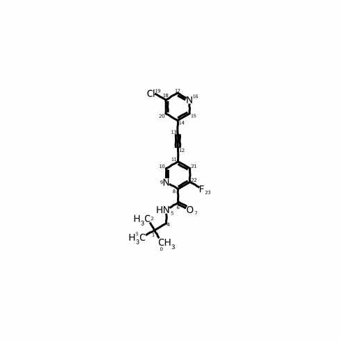 CC(C)(C)CNC(=O)c1ncc(C#Cc2cncc(Cl)c2)cc1F